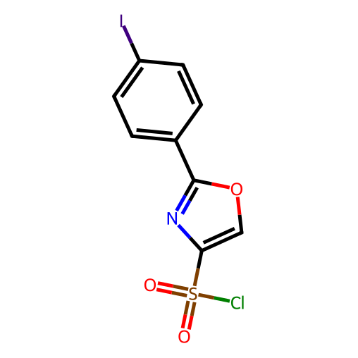 O=S(=O)(Cl)c1coc(-c2ccc(I)cc2)n1